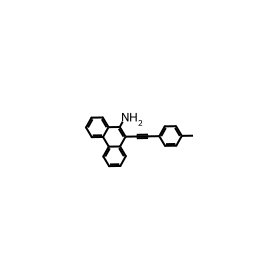 Cc1ccc(C#Cc2c(N)c3ccccc3c3ccccc23)cc1